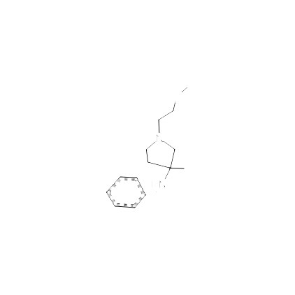 COCCN1C[C@@H](c2ccccc2)C(C)(N)C1